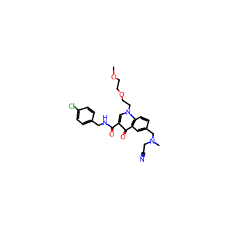 COCCOCCn1cc(C(=O)NCc2ccc(Cl)cc2)c(=O)c2cc(CN(C)CC#N)ccc21